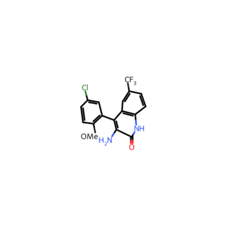 COc1ccc(Cl)cc1-c1c(N)c(=O)[nH]c2ccc(C(F)(F)F)cc12